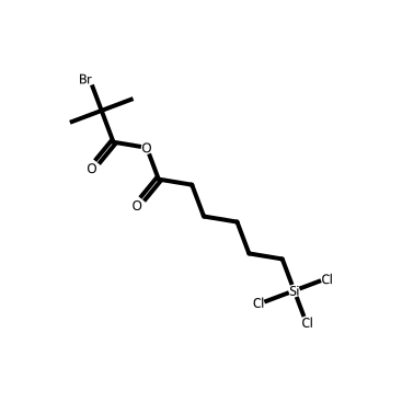 CC(C)(Br)C(=O)OC(=O)CCCCC[Si](Cl)(Cl)Cl